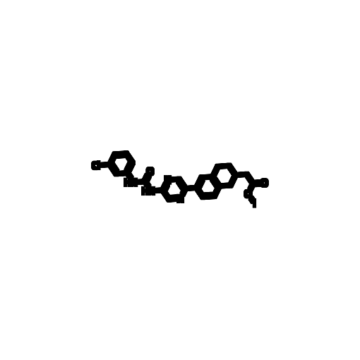 O=C(Nc1cccc(Cl)c1)Nc1cnc(-c2ccc3c(c2)CCC(CC(=O)OI)C3)cn1